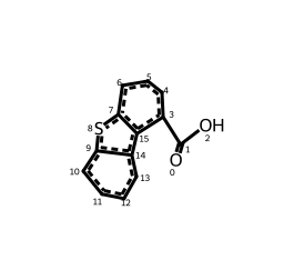 O=C(O)c1cccc2sc3ccccc3c12